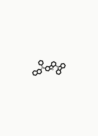 c1ccc(N(c2ccc3ccccc3c2)c2ccc3sc4c(-n5c6ccccc6c6ccccc65)cccc4c3c2)cc1